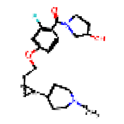 CCN1CCC([C@H]2C[C@H]2CCOc2ccc(C(=O)N3CCC(O)C3)c(F)c2)CC1